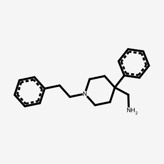 NCC1(c2ccccc2)CCN(CCc2ccccc2)CC1